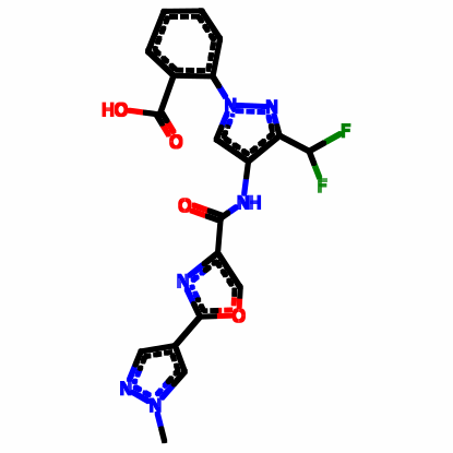 Cn1cc(-c2nc(C(=O)Nc3cn(-c4ccccc4C(=O)O)nc3C(F)F)co2)cn1